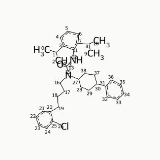 CC(C)c1cccc(C(C)C)c1NC(=O)N(CCCCc1ccccc1Cl)C1CCC(c2ccccc2)CC1